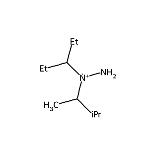 CCC(CC)[N+](N)C(C)C(C)C